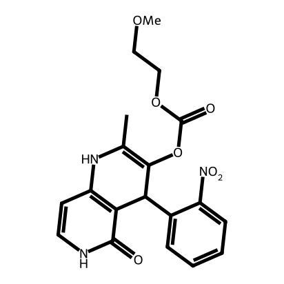 COCCOC(=O)OC1=C(C)Nc2cc[nH]c(=O)c2C1c1ccccc1[N+](=O)[O-]